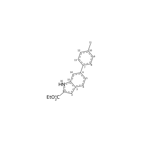 CCOC(=O)c1cc2ccc(-c3ccc(C)cc3)cc2[nH]1